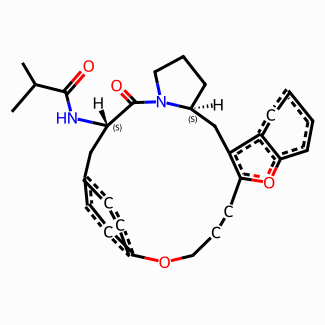 CC(C)C(=O)N[C@H]1Cc2ccc(cc2)OCCCc2oc3ccccc3c2C[C@@H]2CCCN2C1=O